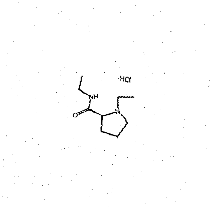 CCNC(=O)[C@@H]1CCCN1CC.Cl